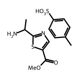 COC(=O)c1cnc(C(C)N)s1.Cc1ccc(S(=O)(=O)O)cc1